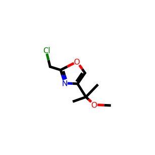 COC(C)(C)c1coc(CCl)n1